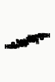 CCC(=O)N(CCOC(=O)CO)Cc1ccc(-c2ccc(CN(CCOC(=O)CO)C(=O)CC)cc2)cc1